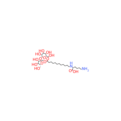 NCCCC[C@H](NCCCCCCCCCCCC(=O)OC[C@@]1(O[C@H]2O[C@H](CO)[C@@H](O)[C@H](O)[C@H]2O)O[C@H](CO)[C@@H](O)[C@@H]1O)C(=O)O